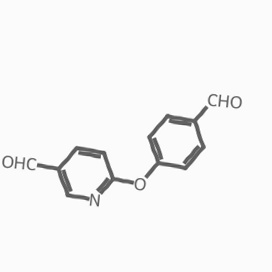 O=Cc1ccc(Oc2ccc(C=O)cn2)cc1